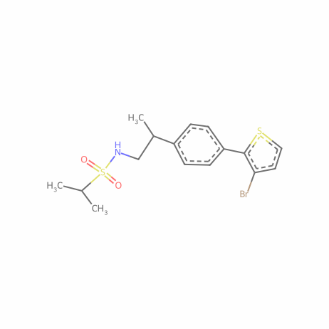 CC(CNS(=O)(=O)C(C)C)c1ccc(-c2sccc2Br)cc1